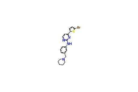 Brc1ccc(-c2ccnc(Nc3cccc(CN4CCCCC4)c3)n2)s1